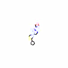 C1=CCCC(C2=CN(c3ccnc(Nc4cocn4)n3)C=CS2)=C1